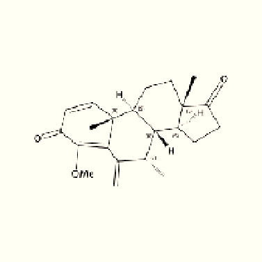 C=C1C2=C(OC)C(=O)C=C[C@]2(C)[C@H]2CC[C@]3(C)C(=O)CC[C@H]3[C@@H]2[C@@H]1C